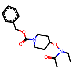 CCN(OC1CCN(C(=O)OCc2ccccc2)CC1)C(C)=O